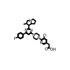 CC1CN2CCCC2C1c1nc(-c2ccc(F)cc2)cc(N2CCN(c3ncc(CC(=O)O)cc3Cl)CC2)n1